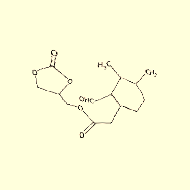 CC1CCC(CC(=O)OCC2COC(=O)O2)C(C=O)C1C